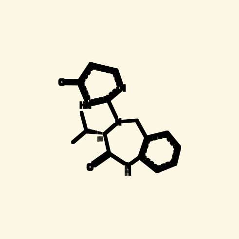 CC(C)[C@H]1C(=O)Nc2ccccc2CN1c1nccc(=O)[nH]1